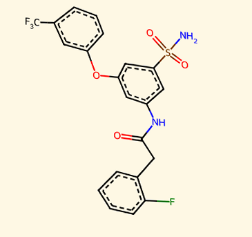 NS(=O)(=O)c1cc(NC(=O)Cc2ccccc2F)cc(Oc2cccc(C(F)(F)F)c2)c1